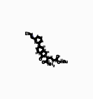 CC/C=C/c1cccc(-c2ccc3c(c2)CN(C(CCC(=O)OCCCC)C(N)=O)C3=O)n1